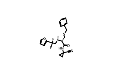 N#CC1(NC(=O)[C@H](CSCc2ccccc2)NCC(F)(F)c2cccs2)CC1